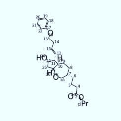 CC(C)OC(=O)CCC[C@H]1CC[C@@H]2[C@@H](C=CCCOc3ccccc3)[C@H](O)C[C@@H]2OC1